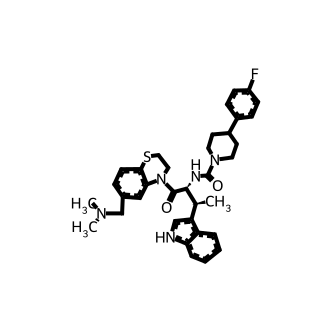 C[C@@H](c1c[nH]c2ccccc12)[C@@H](NC(=O)N1CCC(c2ccc(F)cc2)CC1)C(=O)N1CCSc2ccc(CN(C)C)cc21